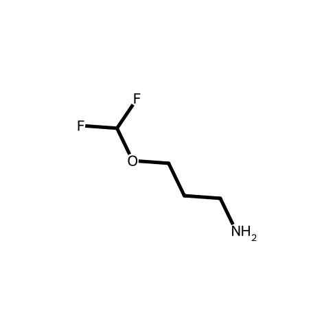 NCCCOC(F)F